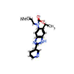 COCCN1C(=O)OC(C)c2cc3[nH]c(-c4cccnc4)nc3cc21